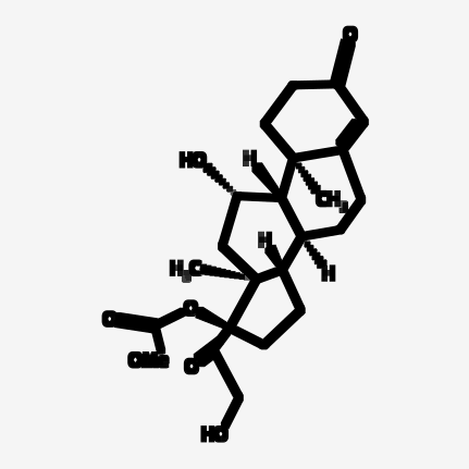 COC(=O)O[C@]1(C(=O)CO)CC[C@H]2[C@@H]3CCC4=CC(=O)CC[C@]4(C)[C@H]3[C@@H](O)C[C@@]21C